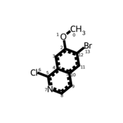 COc1cc2c(Cl)nccc2cc1Br